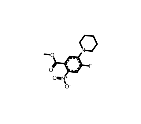 COC(=O)c1cc(N2CCCCC2)c(F)cc1[N+](=O)[O-]